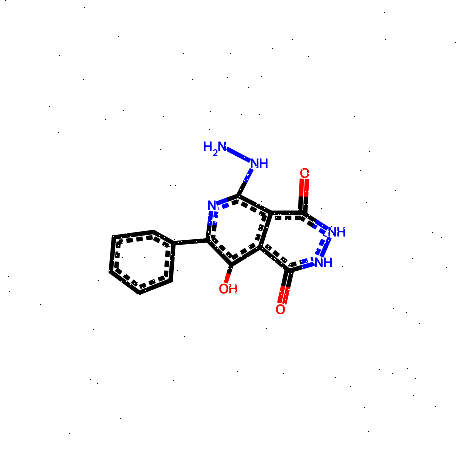 NNc1nc(-c2ccccc2)c(O)c2c(=O)[nH][nH]c(=O)c12